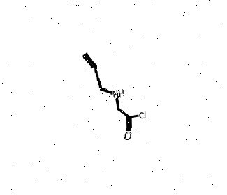 C=CCNCC(=O)Cl